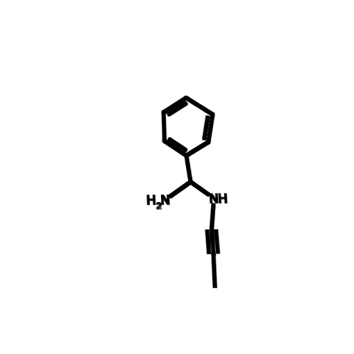 CC#CNC(N)c1ccccc1